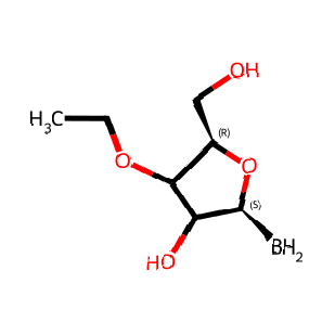 B[C@@H]1O[C@H](CO)C(OCC)C1O